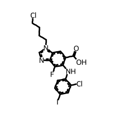 O=C(O)c1cc2c(ncn2CCCCCl)c(F)c1Nc1ccc(I)cc1Cl